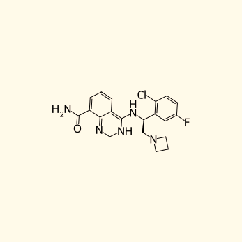 NC(=O)c1cccc2c1=NCNC=2N[C@H](CN1CCC1)c1cc(F)ccc1Cl